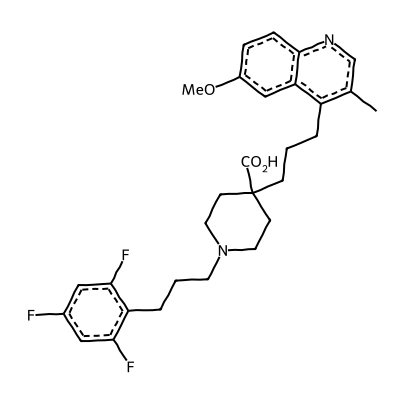 COc1ccc2ncc(C)c(CCCC3(C(=O)O)CCN(CCCc4c(F)cc(F)cc4F)CC3)c2c1